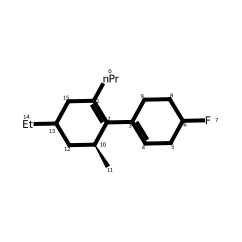 CCCC1=C(C2=CCC(F)CC2)[C@@H](C)CC(CC)C1